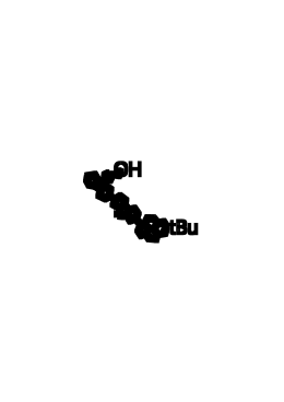 C=CC1(CCCO)c2ccccc2-c2ccc(-c3ccc4c(c3)C(C)(C)c3cc(-c5ccc6ccc7cc(C(C)(C)C)cc8ccc5c6c78)ccc3-4)cc21